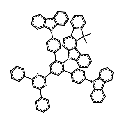 CC1(C)c2ccccc2-c2ccc3c(c21)c1ccccc1n3-c1c(-c2ccc(-n3c4ccccc4c4ccccc43)cc2)cc(-c2nc(-c3ccccc3)cc(-c3ccccc3)n2)cc1-c1ccc(-n2c3ccccc3c3ccccc32)cc1